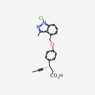 CC#C[C@@H](CC(=O)O)c1ccc(OCc2cccc3c2c(C)nn3Cl)cc1